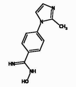 Cc1nccn1-c1ccc(C(=N)NO)cc1